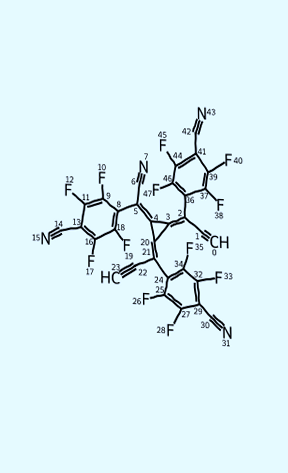 C#C/C(=C1/C(=C(C#N)c2c(F)c(F)c(C#N)c(F)c2F)/C1=C(\C#C)c1c(F)c(F)c(C#N)c(F)c1F)c1c(F)c(F)c(C#N)c(F)c1F